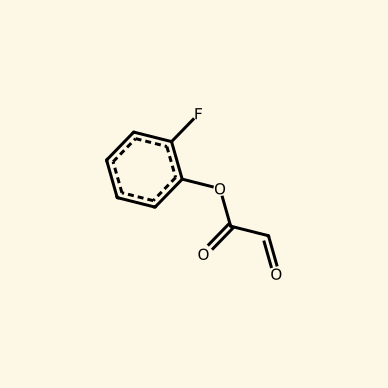 O=CC(=O)Oc1ccccc1F